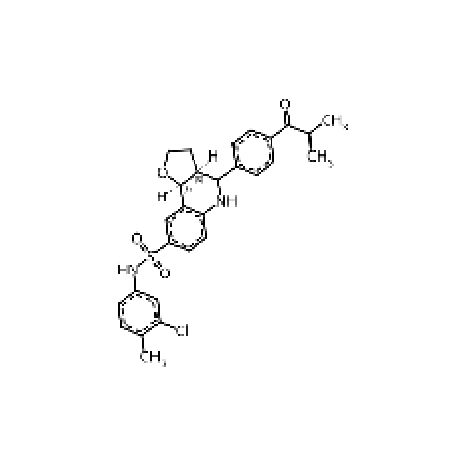 Cc1ccc(NS(=O)(=O)c2ccc3c(c2)[C@H]2OCC[C@H]2C(c2ccc(C(=O)C(C)C)cc2)N3)cc1Cl